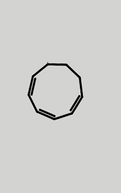 [CH]1C=CC=CC=CCC1